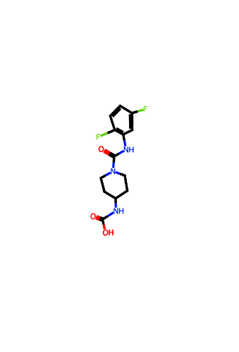 O=C(O)NC1CCN(C(=O)Nc2cc(F)ccc2F)CC1